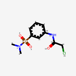 CN(C)S(=O)(=O)c1cccc(NC(=O)CCl)c1